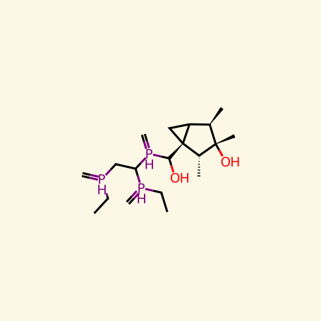 C=[PH](CC)CC([PH](=C)CC)[PH](=C)C(O)[C@@]12CC1[C@@H](C)[C@](C)(O)[C@@H]2C